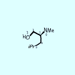 CN[C@H](CO)CC(C)C